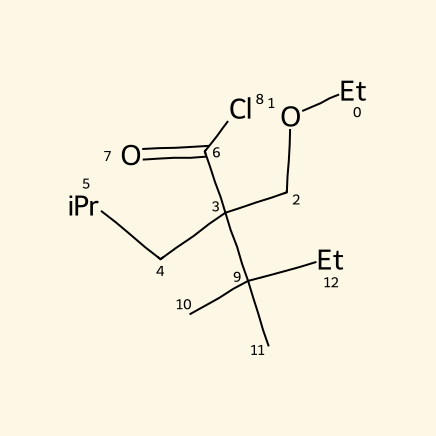 CCOCC(CC(C)C)(C(=O)Cl)C(C)(C)CC